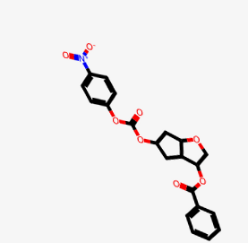 O=C(Oc1ccc([N+](=O)[O-])cc1)OC1CC2OCC(OC(=O)c3ccccc3)C2C1